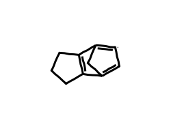 [C]1=C2CC(=C1)C1=C2CCC1